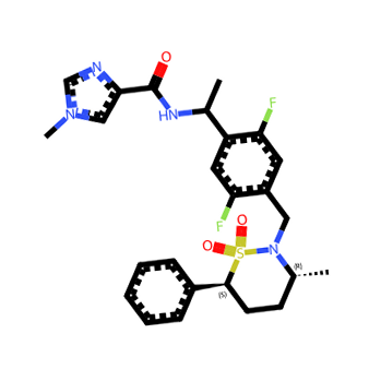 CC(NC(=O)c1cn(C)cn1)c1cc(F)c(CN2[C@H](C)CC[C@@H](c3ccccc3)S2(=O)=O)cc1F